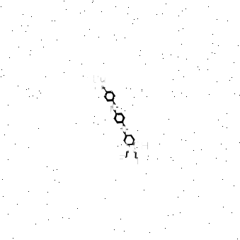 CCCCOC(=O)c1ccc(/N=N/c2ccc(/N=N/C3=CCC(C)(N(CCF)CCF)C=C3)cc2)cc1